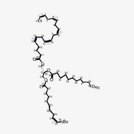 CC/C=C\C/C=C\C/C=C\C/C=C\C/C=C\CCCC(=O)OC[C@@H](COC(=O)CCCCCCC/C=C\CCCC)OC(=O)CCCCCCCCCCCCCCCCCCC